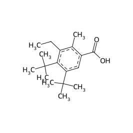 CCc1c(C)c(C(=O)O)cc(C(C)(C)C)c1C(C)(C)C